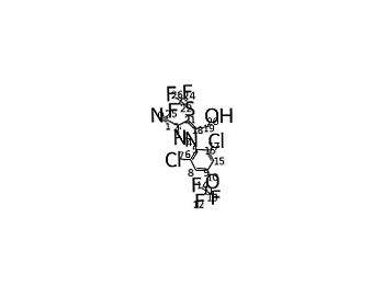 N#Cc1nn(-c2c(Cl)cc(OC(F)(F)F)cc2Cl)c(CO)c1SC(F)(F)F